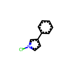 Cln1ccc(-c2ccccc2)c1